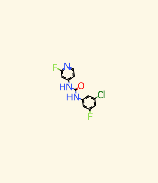 O=C(Nc1cc(F)cc(Cl)c1)Nc1ccnc(F)c1